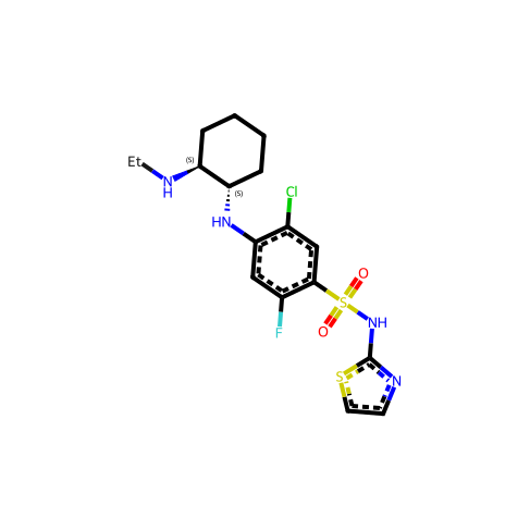 CCN[C@H]1CCCC[C@@H]1Nc1cc(F)c(S(=O)(=O)Nc2nccs2)cc1Cl